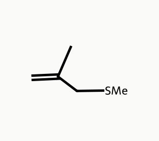 [CH2]SCC(=C)C